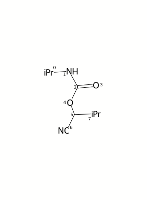 CC(C)NC(=O)OC(C#N)C(C)C